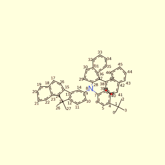 CC(C)(C)c1ccc(N(c2ccc3c(c2)-c2ccc4ccccc4c2C3(C)C)c2ccc3ccccc3c2-c2cccc3ccccc23)cc1